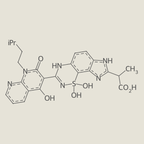 CC(C)CCn1c(=O)c(C2=NS(O)(O)c3c(ccc4[nH]c(C(C)C(=O)O)nc34)N2)c(O)c2cccnc21